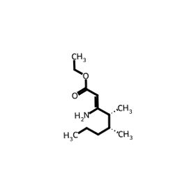 CCC[C@@H](C)[C@@H](C)C(N)=CC(=O)OCC